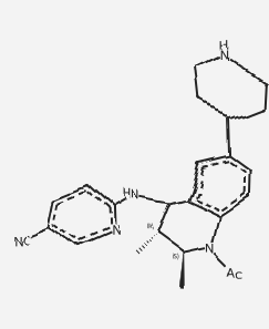 CC(=O)N1c2ccc(C3CCNCC3)cc2C(Nc2ccc(C#N)cn2)[C@@H](C)[C@@H]1C